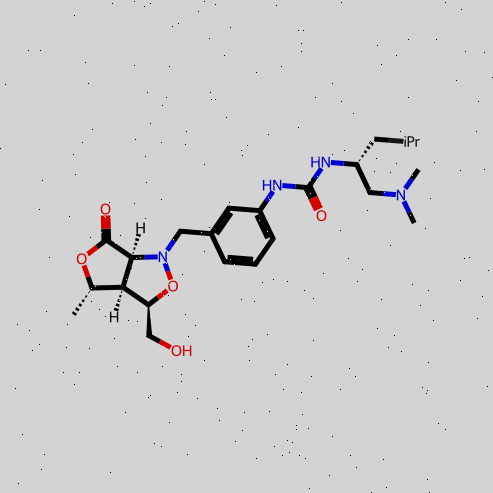 CC(C)C[C@H](CN(C)C)NC(=O)Nc1cccc(CN2O[C@@H](CO)[C@H]3[C@H](C)OC(=O)[C@H]32)c1